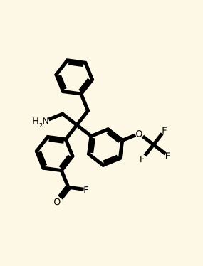 NCC(Cc1ccccc1)(c1cccc(OC(F)(F)F)c1)c1cccc(C(=O)F)c1